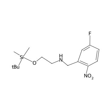 CC(C)(C)[Si](C)(C)OCCNCc1cc(F)ccc1[N+](=O)[O-]